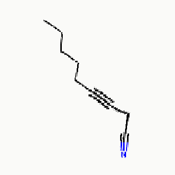 CCCCCC#CCC#N